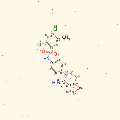 Cc1cc(S(=O)(=O)Nc2ccc(N3C=Nc4occc4C3N)cc2)c(Cl)cc1Cl